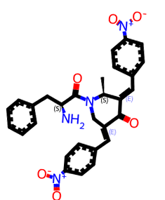 C[C@H]1/C(=C\c2ccc([N+](=O)[O-])cc2)C(=O)/C(=C/c2ccc([N+](=O)[O-])cc2)CN1C(=O)[C@@H](N)Cc1ccccc1